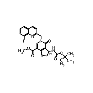 COC(=O)c1cn(Cc2ccc3cccc(F)c3n2)c(=O)c2c1SC[C@@H]2NC(=O)OC(C)(C)C